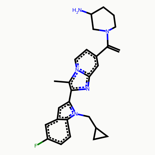 C=C(c1ccn2c(C)c(-c3cc4cc(F)ccc4n3CC3CC3)nc2c1)N1CCCC(N)C1